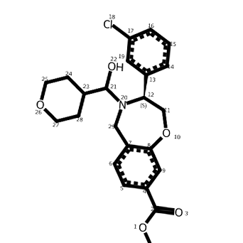 COC(=O)c1ccc2c(c1)OC[C@H](c1cccc(Cl)c1)N(C(O)C1CCOCC1)C2